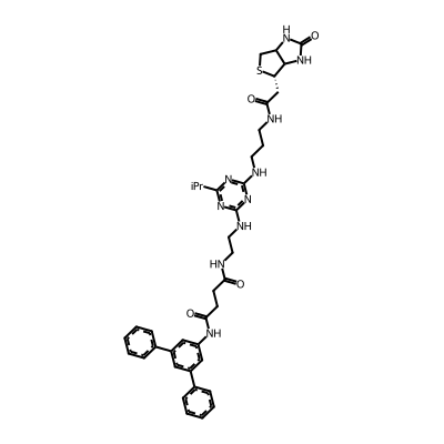 CC(C)c1nc(NCCCNC(=O)C[C@@H]2SCC3NC(=O)NC32)nc(NCCNC(=O)CCC(=O)Nc2cc(-c3ccccc3)cc(-c3ccccc3)c2)n1